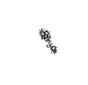 O=C(CCCN1CC[C@@H]2[C@@H](C1)c1cccc3c1N2CCCS3)c1ccc(F)cc1